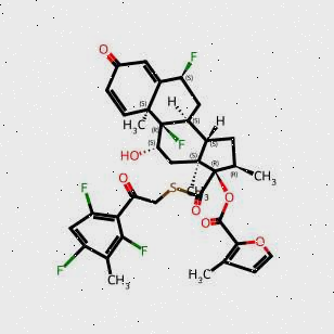 Cc1ccoc1C(=O)O[C@]1(C(=O)SCC(=O)c2c(F)cc(F)c(C)c2F)[C@H](C)C[C@H]2[C@@H]3C[C@H](F)C4=CC(=O)C=C[C@]4(C)[C@@]3(F)[C@@H](O)C[C@@]21C